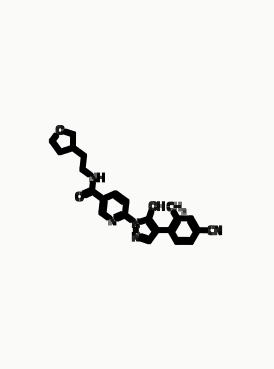 Cc1cc(C#N)ccc1-c1cnn(-c2ccc(C(=O)NCCC3CCOC3)cn2)c1O